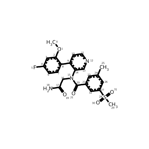 COc1cc(F)ccc1-c1ccncc1N(CC(N)=O)C(=O)c1cc(C)cc(S(C)(=O)=O)c1